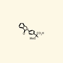 CSC(C)(C(=O)O)c1ccc(N2Cc3ccccc3C2=O)cc1